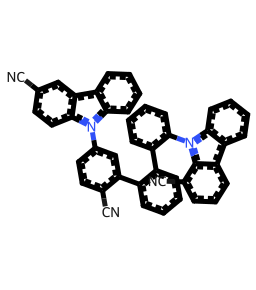 N#Cc1ccc2c(c1)c1ccccc1n2-c1ccc(C#N)c(-c2ccccc2-c2ccccc2-n2c3ccccc3c3cccc(C#N)c32)c1